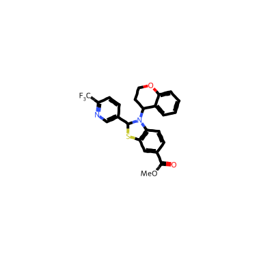 COC(=O)c1ccc2c(c1)SC(c1ccc(C(F)(F)F)nc1)N2C1CCOc2ccccc21